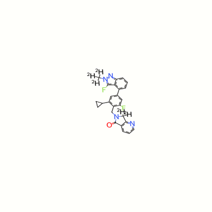 [2H]C1([2H])c2ncccc2C(=O)N1Cc1c(F)cc(-c2cccc3nn(C([2H])([2H])[2H])c(F)c23)cc1C1CC1